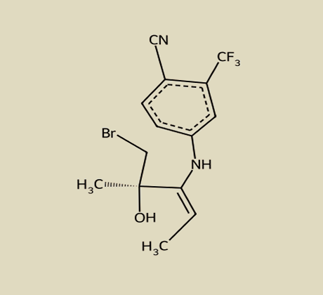 CC=C(Nc1ccc(C#N)c(C(F)(F)F)c1)[C@@](C)(O)CBr